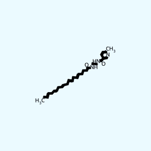 CCC=CCC=CCC=CCC=CCC=CCCCC(=O)NCCNC(=O)c1ccc(C)nc1